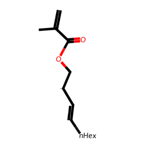 C=C(C)C(=O)OC[CH]C=CCCCCCC